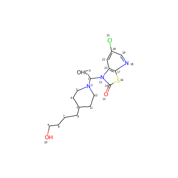 O=CC(N1CCC(CCCCO)CC1)n1c(=O)sc2ncc(Cl)cc21